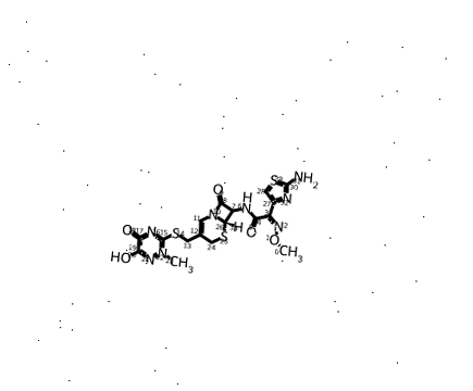 CO/N=C(\C(=O)NC1C(=O)N2C=C(CSc3nc(=O)c(O)nn3C)CS[C@@H]12)c1csc(N)n1